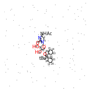 CC(=O)Nc1ccn([C@@H]2O[C@H](CO[Si](c3ccccc3)(c3ccccc3)C(C)(C)C)[C@@H](O)[C@H]2O)c(=O)n1